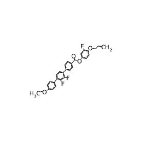 C=CCOc1ccc(OC(=O)c2ccc(-c3ccc(-c4ccc(OCC)cc4)c(F)c3F)cc2)cc1F